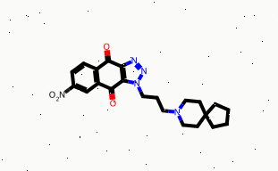 O=C1c2ccc([N+](=O)[O-])cc2C(=O)c2c1nnn2CCCN1CCC2(CCCC2)CC1